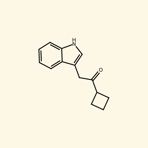 O=C(Cc1c[nH]c2ccccc12)C1CCC1